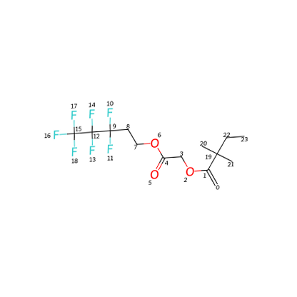 C=C(OCC(=O)OCCC(F)(F)C(F)(F)C(F)(F)F)C(C)(C)CC